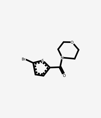 O=C(c1ccc(Br)s1)N1CCOCC1